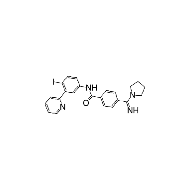 N=C(c1ccc(C(=O)Nc2ccc(I)c(-c3ccccn3)c2)cc1)N1CCCC1